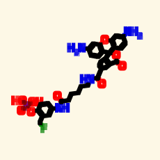 Nc1ccc2c(c1)Oc1cc(N)ccc1C21OC(=O)c2cc(C(=O)NCCCCCC(=O)Nc3ccc(OP(=O)(O)O)c(CF)c3)ccc21